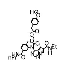 CCCNC(=O)c1ccc(C)c(N(C(=O)OCOC(=O)Cc2ccc(OO)cc2)c2ncnn3cc(C(=O)NCC)c(C)c23)c1